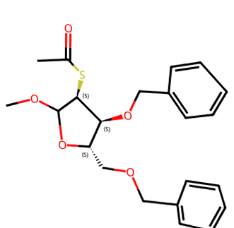 COC1O[C@@H](COCc2ccccc2)[C@H](OCc2ccccc2)[C@@H]1SC(C)=O